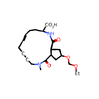 CCOCOC1CC2C(=O)NC(C(=O)O)CCC=CCCCCN(C)C(=O)C2C1